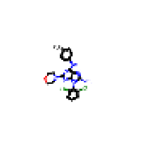 Nc1nc2c(Nc3ccc(C(F)(F)F)cc3)nc(N3CCOCC3)nc2n1-c1c(Cl)cccc1Cl